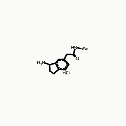 CC(C)(C)NC(=O)Cc1ccc2c(c1)C(N)CC2.Cl